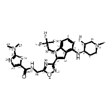 CN1CC[C@@H](Nc2cccc3c2cc(-c2noc(CNC(=O)c4cnc(N(C)C)s4)n2)n3CC(F)(F)F)[C@@H](F)C1